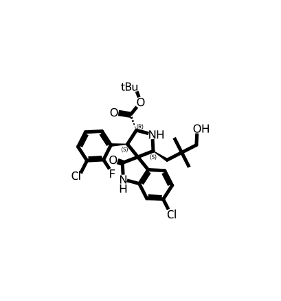 CC(C)(CO)C[C@@H]1N[C@@H](C(=O)OC(C)(C)C)[C@H](c2cccc(Cl)c2F)C12C(=O)Nc1cc(Cl)ccc12